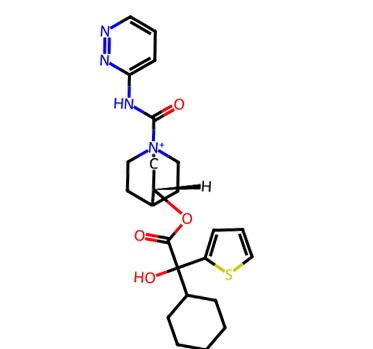 O=C(O[C@H]1C[N+]2(C(=O)Nc3cccnn3)CCC1CC2)C(O)(c1cccs1)C1CCCCC1